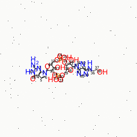 Nc1nc2c(ccn2C2OC3COP(=O)(O)OC4C(COP(=O)(O)OC2C3O)OC(n2cnc3c(NCCO)ncnc32)C4O)c(=O)[nH]1